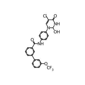 O=C1NC(O)N(c2ccc(NC(=O)c3cccc(-c4cccc(OC(F)(F)F)c4)c3)cc2)C=C1Cl